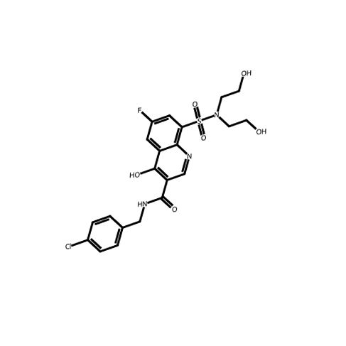 O=C(NCc1ccc(Cl)cc1)c1cnc2c(S(=O)(=O)N(CCO)CCO)cc(F)cc2c1O